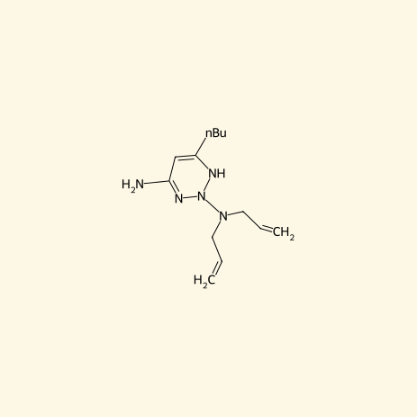 C=CCN(CC=C)N1N=C(N)C=C(CCCC)N1